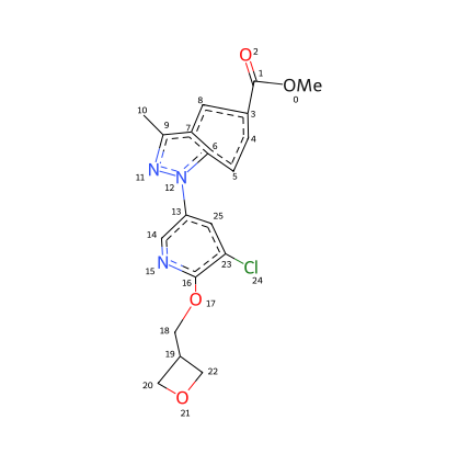 COC(=O)c1ccc2c(c1)c(C)nn2-c1cnc(OCC2COC2)c(Cl)c1